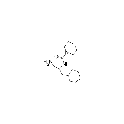 NCC(CC1CCCCC1)NC(=O)N1CCCCC1